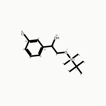 CC(C)(C)[Si](C)(C)OCC(O)c1cccc(Cl)c1